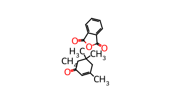 C.CC1=CC(=O)CC(C)(C)C1.O=C1OC(=O)c2ccccc21